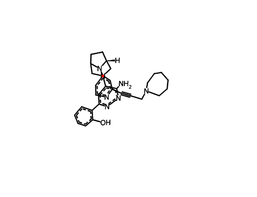 Nc1nnc(-c2ccccc2O)cc1N1CC2CC[C@H](C1)N2c1ccnc(C#CCN2CCCCCC2)c1